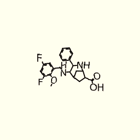 COc1c(F)cc(F)cc1CNC1C2CC(NC1c1ccccc1)C(C(=O)O)C2